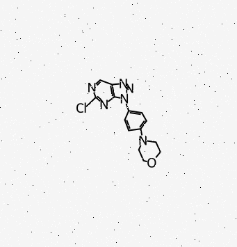 Clc1ncc2nnn(-c3ccc(N4CCOCC4)cc3)c2n1